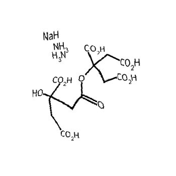 N.N.O=C(O)CC(O)(CC(=O)OC(CC(=O)O)(CC(=O)O)C(=O)O)C(=O)O.[NaH]